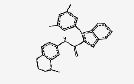 Cc1cc(C)cc(-n2c(C(=O)Nc3ccc4c(c3)N(C)CCC4)cc3ccccc32)c1